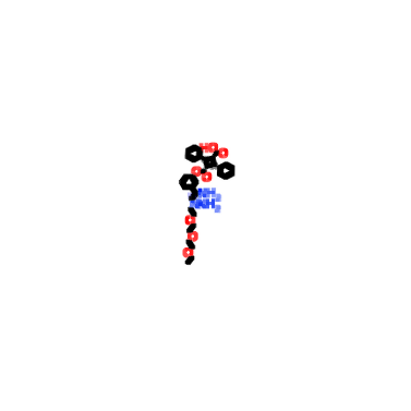 CCOCCOCCOCCN(N)/C=C(\N)c1cccc(OC(=O)[C@H]2[C@@H](c3ccccc3)[C@H](C(=O)O)[C@@H]2c2ccccc2)c1